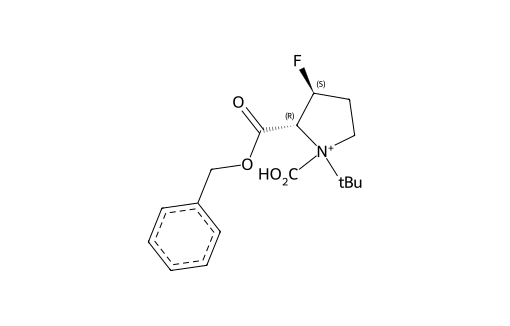 CC(C)(C)[N+]1(C(=O)O)CC[C@H](F)[C@H]1C(=O)OCc1ccccc1